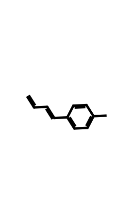 C=C/C=C/c1ccc(C)cc1